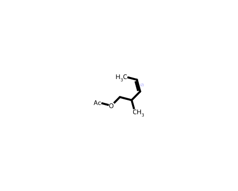 C/C=C\C(C)COC(C)=O